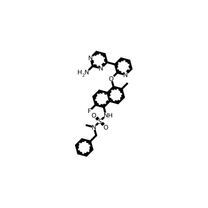 Cc1ccc2c(NS(=O)(=O)N(C)Cc3ccccc3)c(F)ccc2c1Oc1ncccc1-c1ccnc(N)n1